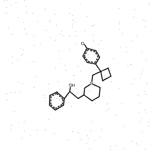 OC(CC1CCCN(CC2(c3ccc(Cl)cc3)CCC2)C1)c1ccccc1